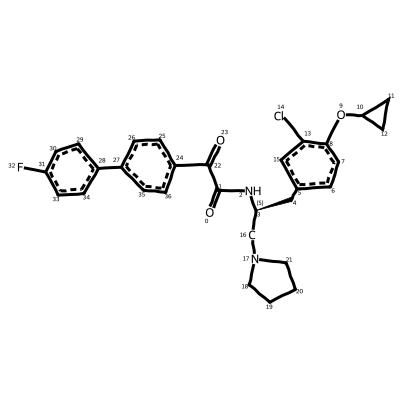 O=C(N[C@@H](Cc1ccc(OC2CC2)c(Cl)c1)CN1CCCC1)C(=O)c1ccc(-c2ccc(F)cc2)cc1